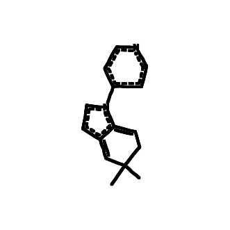 CC1(C)C=c2ccn(-c3ccncc3)c2=CC1